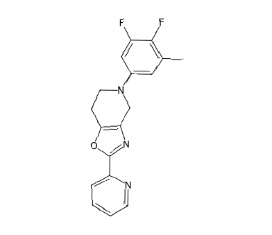 Cc1cc(N2CCc3oc(-c4ccccn4)nc3C2)cc(F)c1F